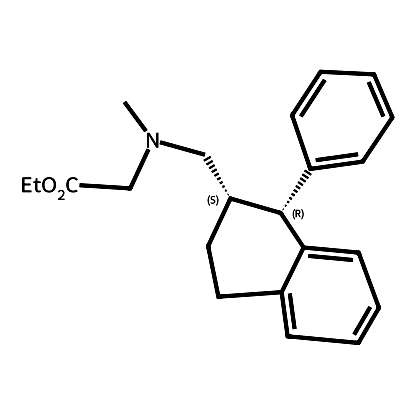 CCOC(=O)CN(C)C[C@H]1CCc2ccccc2[C@H]1c1ccccc1